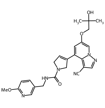 COc1ccc(CNC(=O)N2CC=C(c3cc(OCC(C)(C)O)cn4ncc(C#N)c34)C2)cn1